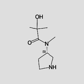 CN(C(=O)C(C)(C)O)[C@H]1CCNC1